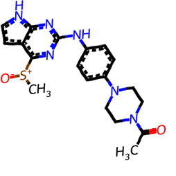 CC(=O)N1CCN(c2ccc(Nc3nc([S+](C)[O-])c4cc[nH]c4n3)cc2)CC1